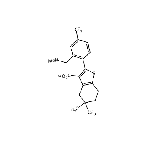 CNCc1cc(C(F)(F)F)ccc1-c1sc2c(c1C(=O)O)CC(C)(C)CC2